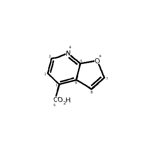 O=C(O)c1ccnc2occc12